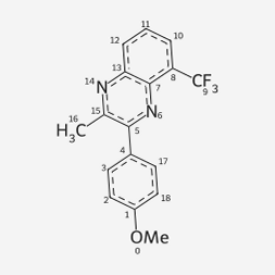 COc1ccc(-c2nc3c(C(F)(F)F)cccc3nc2C)cc1